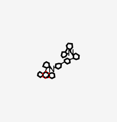 c1ccc(N(c2ccc(-c3ccc(-c4ccccc4-n4c5ccccc5c5ccccc54)cc3)cc2)c2cccc3ccccc23)c(-c2cccc3ccccc23)c1